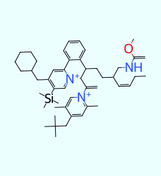 C=C(NCC(/C=C\CC)CCC1c2ccccc2-c2cc(CC3CCCCC3)c([Si](C)(C)C)c[n+]2C1C(=C)[n+]1cc(C)c(CC(C)(C)C)cc1C)OC